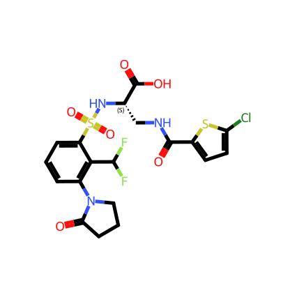 O=C(NC[C@H](NS(=O)(=O)c1cccc(N2CCCC2=O)c1C(F)F)C(=O)O)c1ccc(Cl)s1